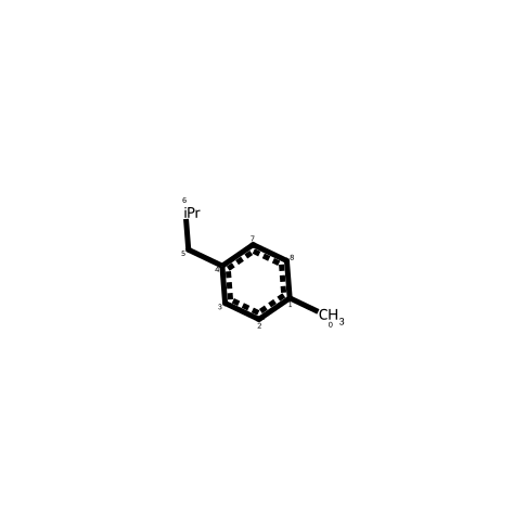 Cc1[c]cc(CC(C)C)cc1